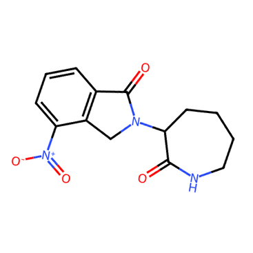 O=C1NCCCCC1N1Cc2c(cccc2[N+](=O)[O-])C1=O